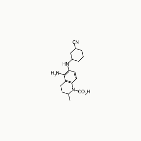 CC1CCc2c(ccc(NC3CCCC(C#N)C3)c2N)N1C(=O)O